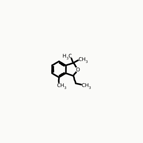 CCC1OC(C)(C)c2cccc(C)c21